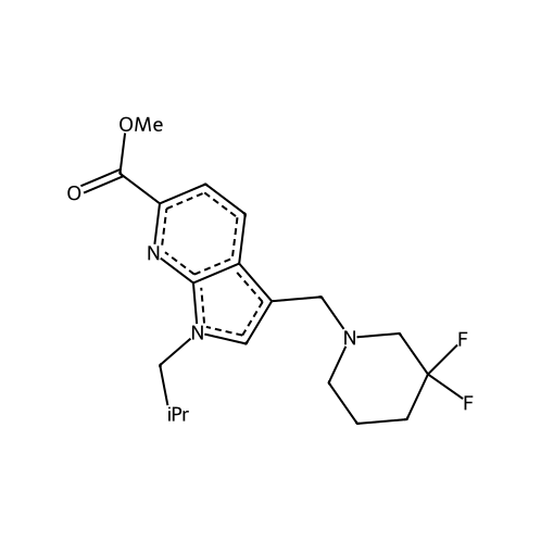 COC(=O)c1ccc2c(CN3CCCC(F)(F)C3)cn(CC(C)C)c2n1